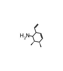 C=CC1C=C[C@@H](C)[C@@H](C)C1N